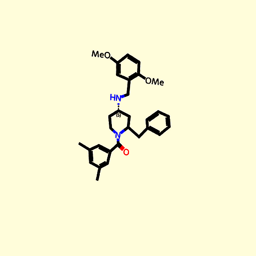 COc1ccc(OC)c(CN[C@H]2CCN(C(=O)c3cc(C)cc(C)c3)C(Cc3ccccc3)C2)c1